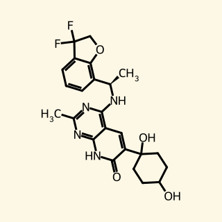 Cc1nc(N[C@H](C)c2cccc3c2OCC3(F)F)c2cc(C3(O)CCC(O)CC3)c(=O)[nH]c2n1